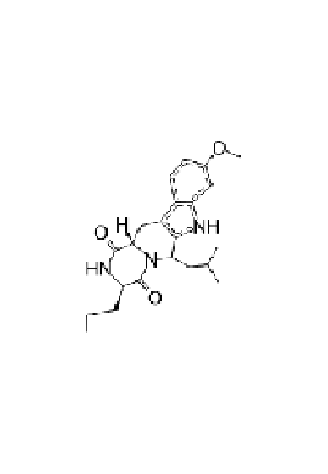 CCC[C@H]1NC(=O)[C@@H]2Cc3c([nH]c4cc(OC)ccc34)C(CC(C)C)N2C1=O